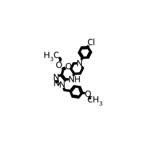 CCOC(=O)c1nnn(Cc2ccc(OC)cc2)c1NC1CCN(c2ccc(Cl)cc2)CC1